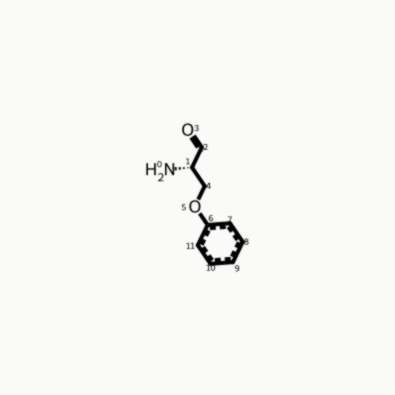 N[C@H]([C]=O)COc1ccccc1